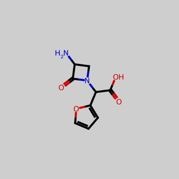 NC1CN(C(C(=O)O)c2ccco2)C1=O